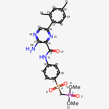 COP(=O)(CS(=O)(=O)c1ccc(NC(=O)c2nc(-c3ccc(C)cc3C)cnc2N)cc1)OC